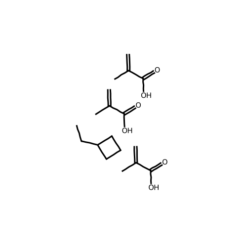 C=C(C)C(=O)O.C=C(C)C(=O)O.C=C(C)C(=O)O.CCC1CCC1